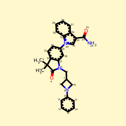 CC1(C)C(=O)N(CC2CN(c3ccccc3)C2)c2cc(-n3cc(C(N)=O)c4ccccc43)ccc21